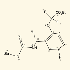 CCOC(=O)C(F)(F)Oc1ccc(F)cc1[C@@H](C)NC(=O)OC(C)(C)C